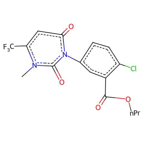 CCCOC(=O)c1cc(-n2c(=O)cc(C(F)(F)F)n(C)c2=O)ccc1Cl